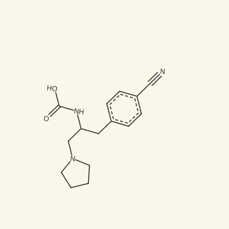 N#Cc1ccc(CC(CN2CCCC2)NC(=O)O)cc1